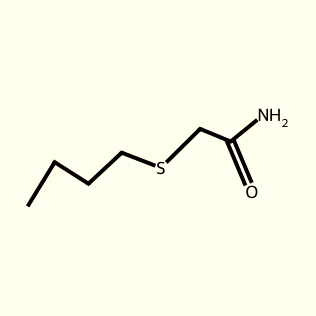 CCCCSCC(N)=O